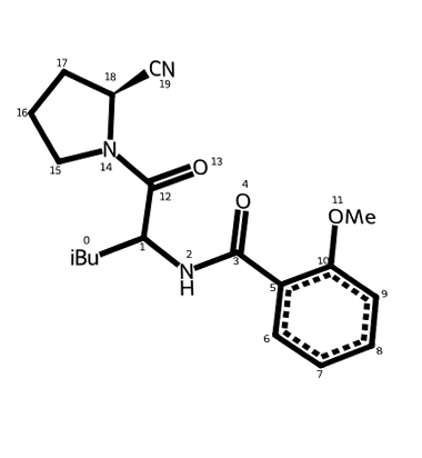 CCC(C)C(NC(=O)c1ccccc1OC)C(=O)N1CCC[C@H]1C#N